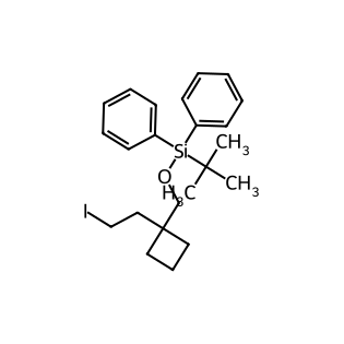 CC(C)(C)[Si](OCC1(CCI)CCC1)(c1ccccc1)c1ccccc1